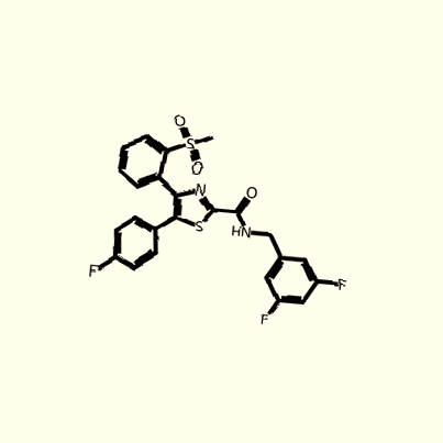 CS(=O)(=O)c1ccccc1-c1nc(C(=O)NCc2cc(F)cc(F)c2)sc1-c1ccc(F)cc1